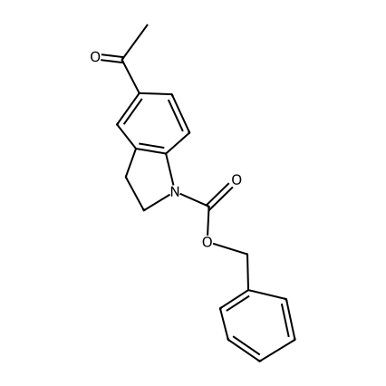 CC(=O)c1ccc2c(c1)CCN2C(=O)OCc1ccccc1